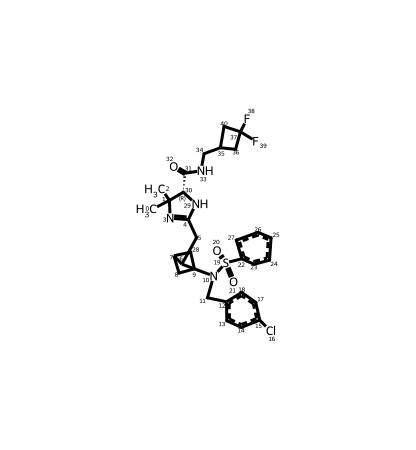 CC1(C)N=C(CC2C3CC2(N(Cc2ccc(Cl)cc2)S(=O)(=O)c2ccccc2)C3)N[C@H]1C(=O)NCC1CC(F)(F)C1